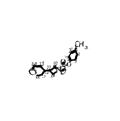 Cc1ccc(OS(=O)(=O)N2CC(C3CCOCC3)C2)cc1